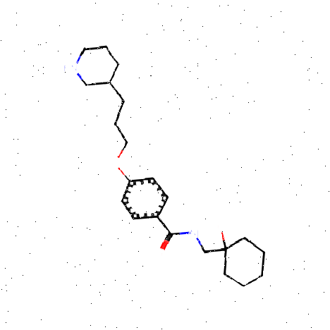 O=C(NCC1(O)CCCCC1)c1ccc(OCCCC2CCCNC2)cc1